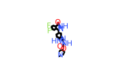 CN1CCC(OC(=O)Nc2nc3cc(-c4n[nH]c(=O)c5cc(F)c(F)cc45)ccc3[nH]2)CC1